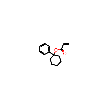 C=CC(=O)OC1(c2ccccc2)CCCCC1